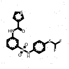 O=C(Nc1cccc(S(=O)(=O)Nc2ccc(SC(F)F)cc2)c1)c1ccsc1